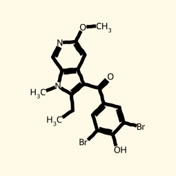 CCc1c(C(=O)c2cc(Br)c(O)c(Br)c2)c2cc(OC)ncc2n1C